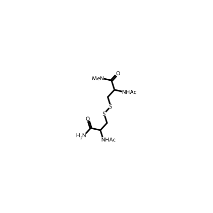 CNC(=O)C(CSSCC(NC(C)=O)C(N)=O)NC(C)=O